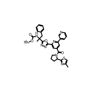 Cc1csc(C2CCCN2C(=O)c2cc(-c3cccnc3)nc(-c3nnc(C(C)(Cc4ccccc4)NC(=O)OC(C)(C)C)o3)c2)n1